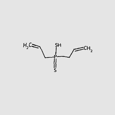 C=CCP(=S)(S)CC=C